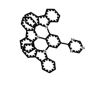 c1ccc2c(c1)c1ccccc1n2-c1cc(-c2ncncn2)cc(-n2c3ccccc3c3ccccc32)c1-n1c2ccccc2c2ccccc21